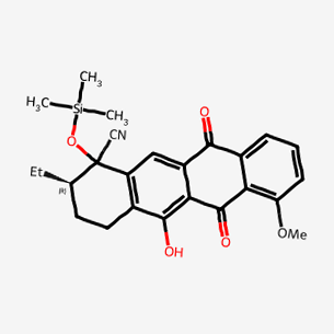 CC[C@@H]1CCc2c(cc3c(c2O)C(=O)c2c(OC)cccc2C3=O)C1(C#N)O[Si](C)(C)C